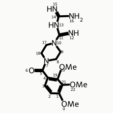 COc1ccc(C(=O)N2CCN(C(=N)NC(=N)N)CC2)c(OC)c1OC